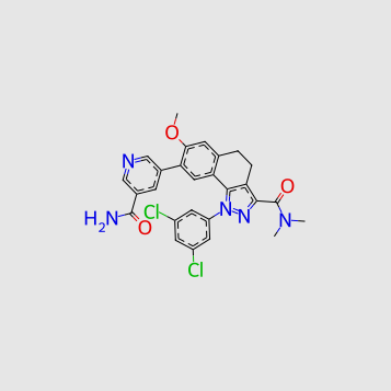 COc1cc2c(cc1-c1cncc(C(N)=O)c1)-c1c(c(C(=O)N(C)C)nn1-c1cc(Cl)cc(Cl)c1)CC2